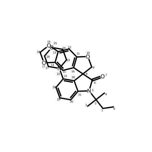 CCC(C)(C)N1C(=O)C2(COc3cc4c(cc32)OCO4)c2c(N3CCOCC3)cccc21